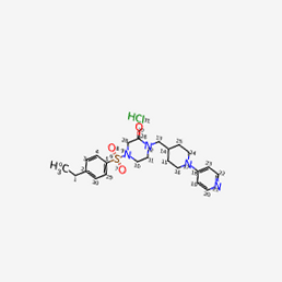 CCc1ccc(S(=O)(=O)N2CCN(CC3CCN(c4ccncc4)CC3)C(=O)C2)cc1.Cl